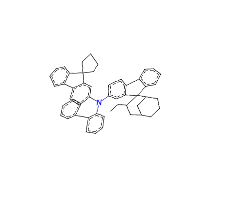 CCC1CC2CCCC(C2)C12c1ccccc1-c1ccc(N(c3ccc4c(c3)C3(CCCC3)c3ccccc3-4)c3ccccc3-c3ccccc3)cc12